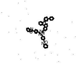 c1ccc(-c2cccc(-n3c4ccccc4c4c5cc(-c6nc(-c7ccc(-c8nc9ccccc9o8)cc7)nc(-c7ccc(-c8nc9ccccc9o8)cc7)n6)ccc5ccc43)c2)cc1